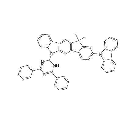 CC1(C)c2cc(-n3c4ccccc4c4ccccc43)ccc2-c2cc3c(cc21)c1ccccc1n3C1N=C(c2ccccc2)N=C(c2ccccc2)N1